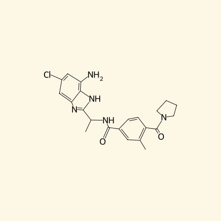 Cc1cc(C(=O)NC(C)c2nc3cc(Cl)cc(N)c3[nH]2)ccc1C(=O)N1CCCC1